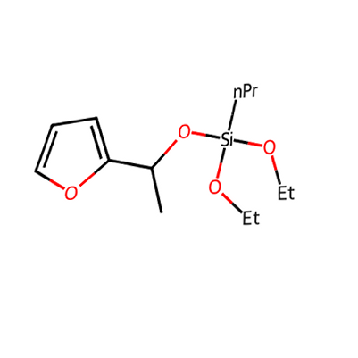 CCC[Si](OCC)(OCC)OC(C)c1ccco1